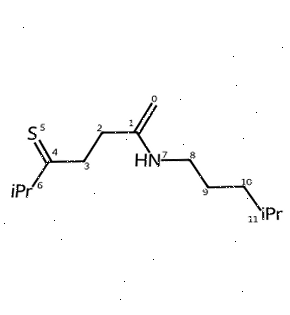 C=C(CCC(=S)C(C)C)NCCCC(C)C